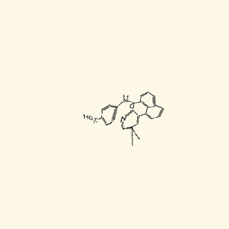 CC1(C)C=C(c2cccc3cccc(C(=O)Nc4ccc(C(=O)O)cc4)c23)C=NC1